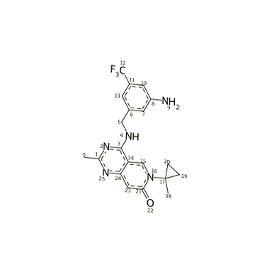 Cc1nc(NCc2cc(N)cc(C(F)(F)F)c2)c2cn(C3(C)CC3)c(=O)cc2n1